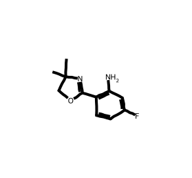 CC1(C)COC(c2ccc(F)cc2N)=N1